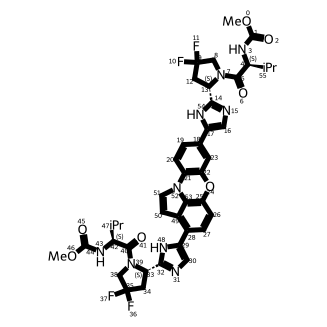 COC(=O)N[C@H](C(=O)N1CC(F)(F)C[C@H]1c1ncc(-c2ccc3c(c2)Oc2ccc(-c4cnc([C@@H]5CC(F)(F)CN5C(=O)[C@@H](NC(=O)OC)C(C)C)[nH]4)c4ccn-3c24)[nH]1)C(C)C